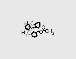 CC(=O)OCc1ccccc1P(c1ccccc1C)c1ccccc1C